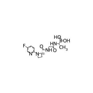 CC(NC(=O)CNC(=O)[C@@H]1CCN1c1ccc(F)cn1)B(O)O